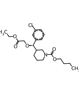 CCCCOC(=O)N1CCCC([C@@H](OCC(=O)OCC)c2cccc(Cl)c2)C1